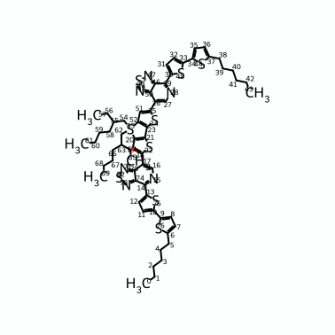 CCCCCCc1ccc(-c2ccc(-c3ncc(-c4cc5c(s4)-c4sc(-c6cnc(-c7ccc(-c8ccc(CCCCCC)s8)s7)c7nsnc67)cc4S5(CC(CC)CCCC)CC(CC)CCCC)c4nsnc34)s2)s1